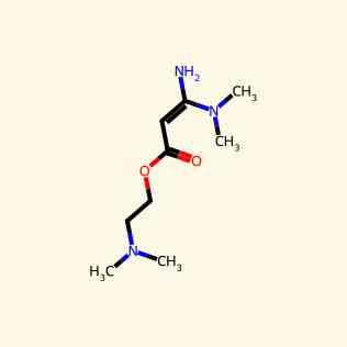 CN(C)CCOC(=O)/C=C(/N)N(C)C